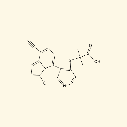 CC(C)(Sc1ccncc1-c1ccc(C#N)c2ccc(Cl)n12)C(=O)O